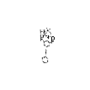 CC1(C)CC(=O)N(c2c(F)cc(C#Cc3ccccc3)cc2F)C(=O)N1